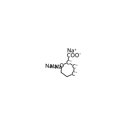 O=C([O-])[C-]1[CH-][CH-]CCO1.[Na+].[Na+].[Na+].[Na+]